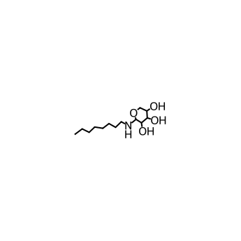 CCCCCCCCNC1OCC(O)C(O)C1O